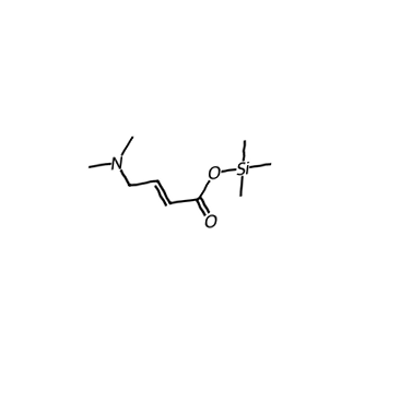 CN(C)C/C=C/C(=O)O[Si](C)(C)C